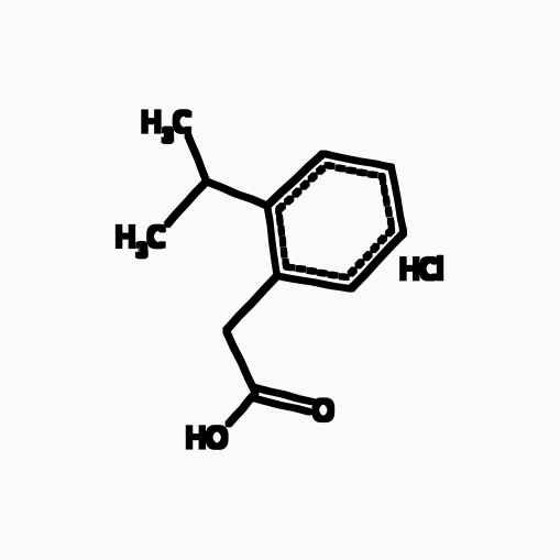 CC(C)c1ccccc1CC(=O)O.Cl